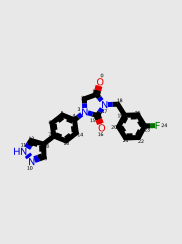 O=C1CN(c2ccc(-c3cn[nH]c3)cc2)C(=O)N1Cc1cccc(F)c1